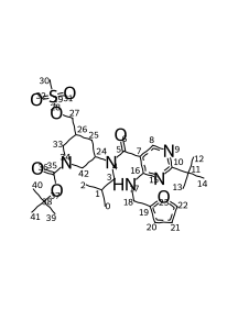 CC(C)CN(C(=O)c1cnc(C(C)(C)C)nc1NCc1ccco1)C1CC(COS(C)(=O)=O)CN(C(=O)OC(C)(C)C)C1